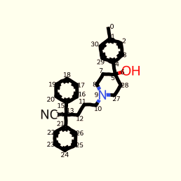 Cc1ccc(C2(O)CCN(CCCC(C#N)(c3ccccc3)c3ccccc3)CC2)cc1